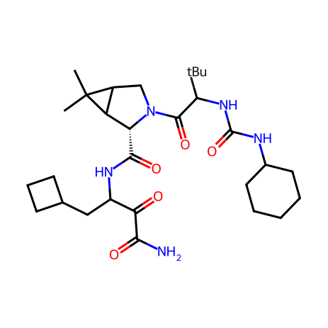 CC(C)(C)C(NC(=O)NC1CCCCC1)C(=O)N1CC2C([C@H]1C(=O)NC(CC1CCC1)C(=O)C(N)=O)C2(C)C